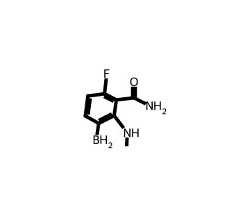 Bc1ccc(F)c(C(N)=O)c1NC